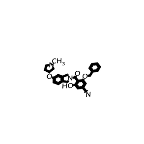 CN1CC[C@@H](Oc2ccc3c(c2)CN(C(=O)c2c(O)cc(C#N)cc2OCc2ccccc2)C3)C1